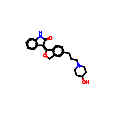 O=C1Nc2ccccc2/C1=C1\OCc2cc(CCCN3CCC(O)CC3)ccc21